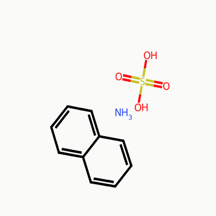 N.O=S(=O)(O)O.c1ccc2ccccc2c1